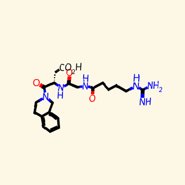 N=C(N)NCCCCC(=O)NCC(=O)N[C@@H](CC(=O)O)C(=O)N1CCc2ccccc2C1